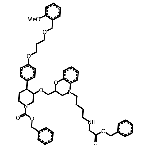 COc1ccccc1COCCCOc1ccc(C2CCN(C(=O)OCc3ccccc3)CC2OCC2CN(CCCCNCC(=O)OCc3ccccc3)c3ccccc3O2)cc1